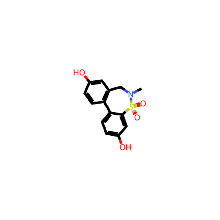 CN1Cc2cc(O)ccc2-c2ccc(O)cc2S1(=O)=O